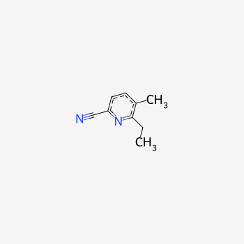 CCc1nc(C#N)ccc1C